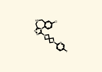 Fc1ccc(N2CC3(C2)CN(c2nnc4n2-c2ccc(Cl)cc2CNC4)C3)nc1